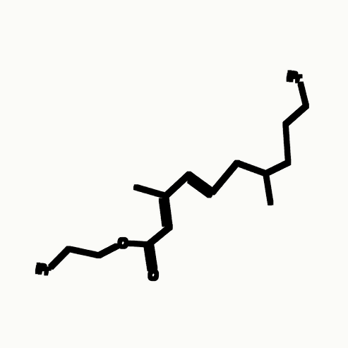 CC(C=CCC(C)CCCC(C)C)=CC(=O)OCCC(C)C